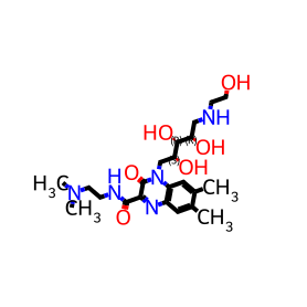 Cc1cc2nc(C(=O)NCCN(C)C)c(=O)n(C[C@H](O)[C@H](O)[C@H](O)CNCCO)c2cc1C